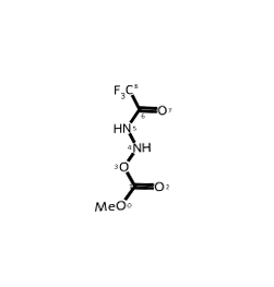 COC(=O)ONNC(=O)C(F)(F)F